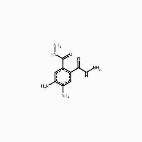 NNC(=O)c1cc(N)c(N)cc1C(=O)NN